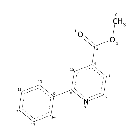 COC(=O)c1ccnc(-c2ccccc2)c1